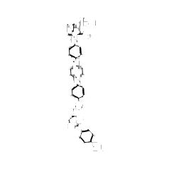 CCc1ccc([C@@H]2OC[C@@H](COc3ccc(N4CCN(c5ccc(-n6cnn(C(C)CC)c6=O)cc5)CC4)cc3)O2)cc1